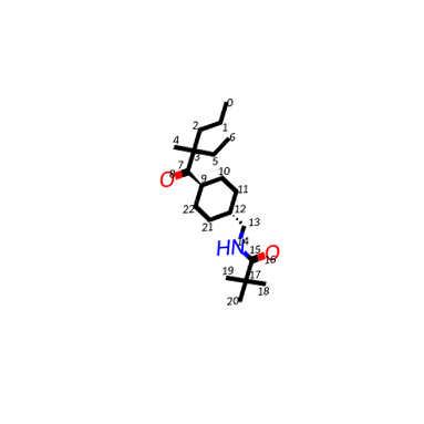 CCCC(C)(CC)C(=O)[C@H]1CC[C@H](CNC(=O)C(C)(C)C)CC1